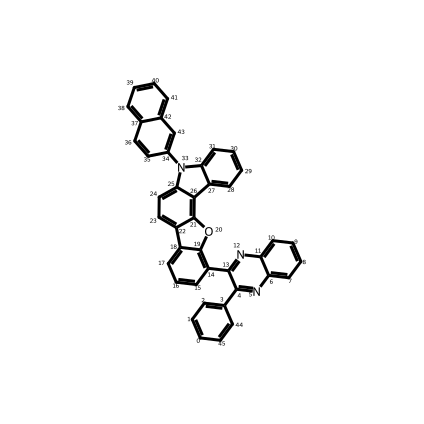 c1ccc(-c2nc3ccccc3nc2-c2cccc3c2oc2c3ccc3c2c2ccccc2n3-c2ccc3ccccc3c2)cc1